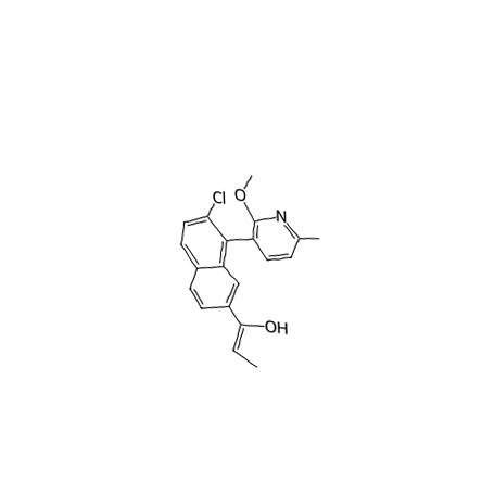 CC=C(O)c1ccc2ccc(Cl)c(-c3ccc(C)nc3OC)c2c1